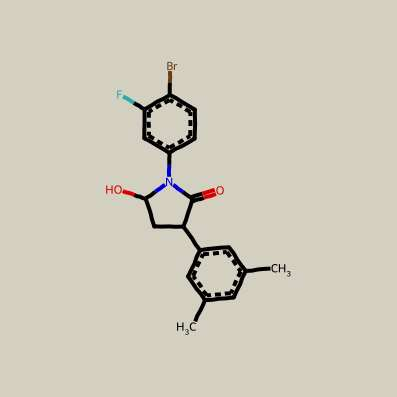 Cc1cc(C)cc(C2CC(O)N(c3ccc(Br)c(F)c3)C2=O)c1